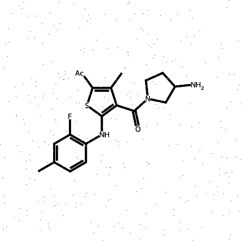 CC(=O)c1sc(Nc2ccc(C)cc2F)c(C(=O)N2CCC(N)C2)c1C